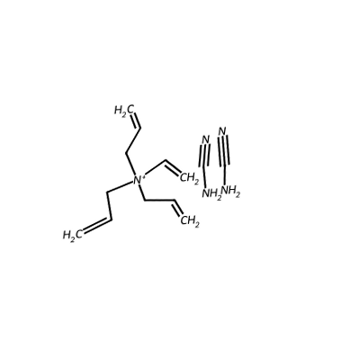 C=CC[N+](C=C)(CC=C)CC=C.N#CN.N#CN